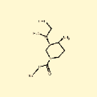 C[C@H]1CCN(C(=O)OC(C)(C)C)C[C@H]1N(C)CC=O